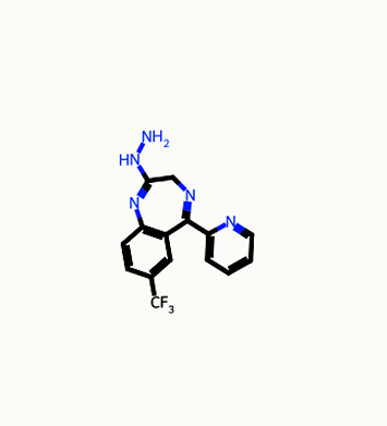 NNC1=Nc2ccc(C(F)(F)F)cc2C(c2ccccn2)=NC1